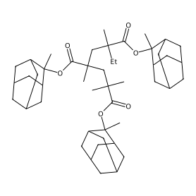 CCC(C)(CC(C)(CC(C)(C)C(=O)OC1(C)C2CC3CC(C2)CC1C3)C(=O)OC1(C)C2CC3CC(C2)CC1C3)C(=O)OC1(C)C2CC3CC(C2)CC1C3